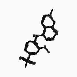 COc1cc(S(C)(=O)=O)ccc1Nc1ccnc2cc(C)ccc12